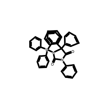 O=C1N(c2ccccc2)C(=O)C(c2ccccc2)(c2ccccc2)N1[Si](c1ccccc1)(c1ccccc1)c1ccccc1